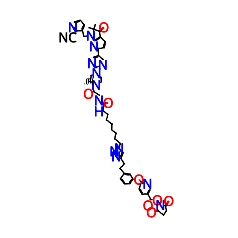 C[C@@H]1CN(c2ncc(-c3ccc4c(n3)N(Cc3cccnc3C#N)C(C)(C)C4=O)cn2)CCN1C(=O)CNC(=O)CCCCCCCCn1cc(CCc2cccc(Oc3ccc(C(=O)ON4C(=O)CCC4=O)cn3)c2)nn1